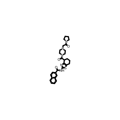 O=C(Nc1nc2c(s1)CCCC2C(=O)N1CCN(CC(=O)N2CCCC2)CC1)c1ccc2ccccc2c1